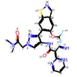 CN(C)C(=O)Cn1cc(NC(=O)/C(C=N)=C2\N=CC=CN2)c(-c2cc3sncc3cc2OC(F)F)n1